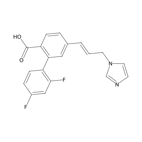 O=C(O)c1ccc(/C=C/Cn2ccnc2)cc1-c1ccc(F)cc1F